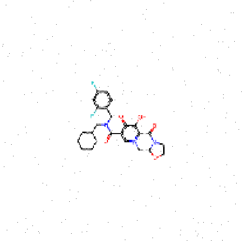 O=C(c1cn2c(c(O)c1=O)C(=O)N1CCOC1C2)N(Cc1ccc(F)cc1F)CC1CCCCC1